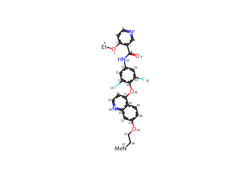 CCOc1ccncc1C(=O)Nc1cc(F)c(Oc2ccnc3cc(OCCNC)ccc23)c(F)c1